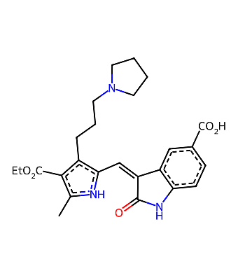 CCOC(=O)c1c(C)[nH]c(/C=C2\C(=O)Nc3ccc(C(=O)O)cc32)c1CCCN1CCCC1